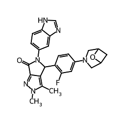 Cc1c2c(nn1C)C(=O)N(c1ccc3[nH]cnc3c1)C2c1ccc(N2CC3CC(C2)O3)cc1F